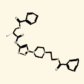 C[C@H](CSC(=O)c1ccccc1)C(=O)[N-]c1c[n+](N2CCN(CCSC(=O)c3ccccc3)CC2)no1